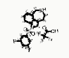 O=C(O)C(F)(F)F.O=S(=O)(c1cc(F)cc(F)c1)n1cc2c3c(cccc31)CNCC2